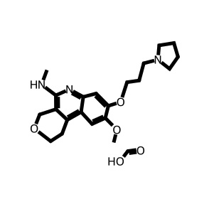 CNc1nc2cc(OCCCN3CCCC3)c(OC)cc2c2c1COCC2.O=CO